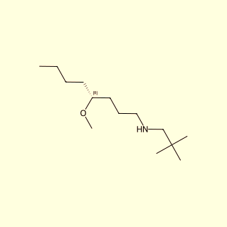 CCCC[C@H](CCCNCC(C)(C)C)OC